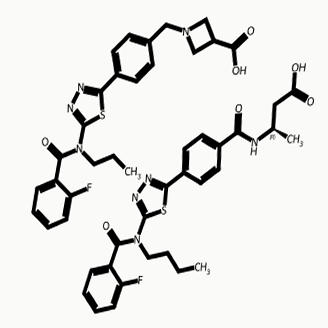 CCCCN(C(=O)c1ccccc1F)c1nnc(-c2ccc(C(=O)N[C@H](C)CC(=O)O)cc2)s1.CCCN(C(=O)c1ccccc1F)c1nnc(-c2ccc(CN3CC(C(=O)O)C3)cc2)s1